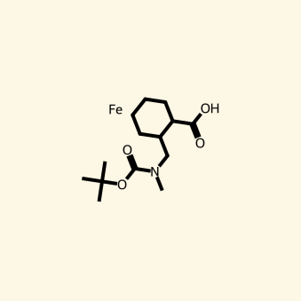 CN(CC1CCCCC1C(=O)O)C(=O)OC(C)(C)C.[Fe]